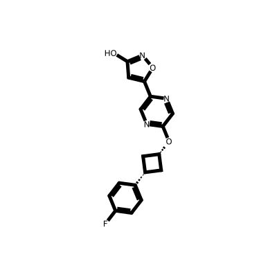 Oc1cc(-c2cnc(O[C@H]3C[C@@H](c4ccc(F)cc4)C3)cn2)on1